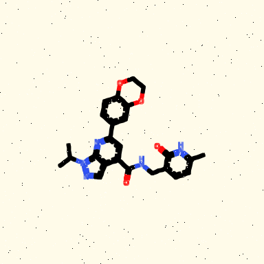 Cc1ccc(CNC(=O)c2cc(-c3ccc4c(c3)OCCO4)nc3c2cnn3C(C)C)c(=O)[nH]1